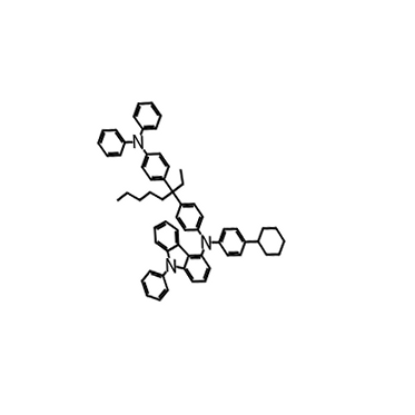 CCCCCC(CC)(c1ccc(N(c2ccccc2)c2ccccc2)cc1)c1ccc(N(c2ccc(C3CCCCC3)cc2)c2cccc3c2c2ccccc2n3-c2ccccc2)cc1